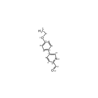 CCOc1ccc(-c2ccc(C=O)nc2)cc1